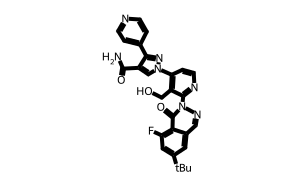 CC(C)(C)c1cc(F)c2c(=O)n(-c3nccc(-n4cc(C(N)=O)c(-c5ccncc5)n4)c3CO)ncc2c1